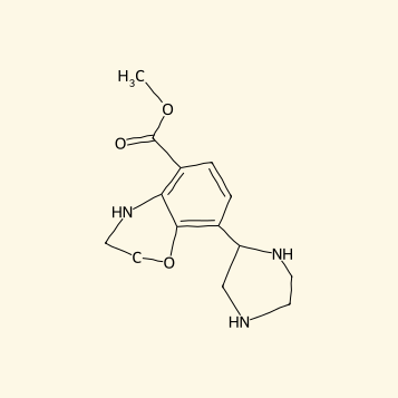 COC(=O)c1ccc(C2CNCCN2)c2c1NCCO2